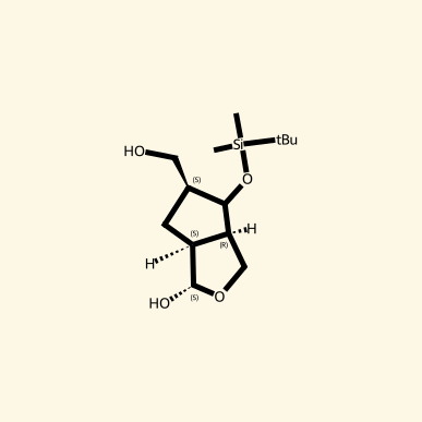 CC(C)(C)[Si](C)(C)OC1[C@H](CO)C[C@H]2[C@@H]1CO[C@@H]2O